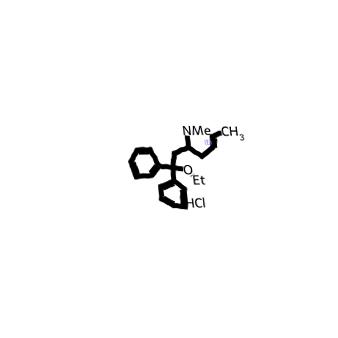 C/C=C/CC(CC(OCC)(c1ccccc1)c1ccccc1)NC.Cl